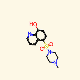 CN1CCN(S(=O)(=O)c2ccc(O)c3ncccc23)CC1